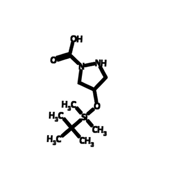 CC(C)(C)[Si](C)(C)OC1CNN(C(=O)O)C1